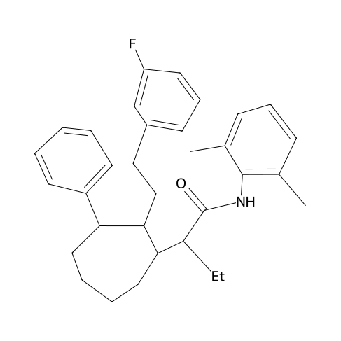 CCC(C(=O)Nc1c(C)cccc1C)C1CCCCC(c2ccccc2)C1CCc1cccc(F)c1